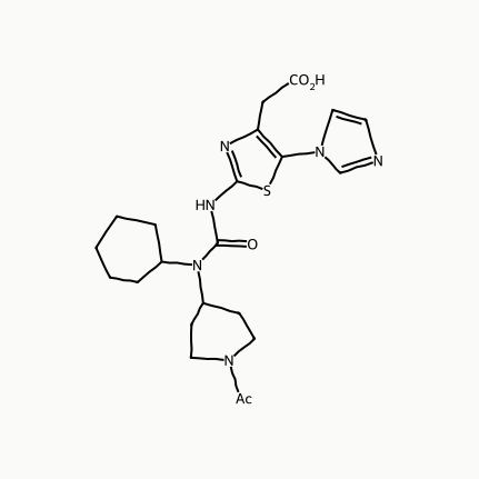 CC(=O)N1CCC(N(C(=O)Nc2nc(CC(=O)O)c(-n3ccnc3)s2)C2CCCCC2)CC1